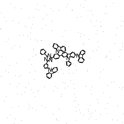 c1ccc(-c2nc(-c3cccc(-n4c5ccccc5c5ccccc54)c3)nc(-c3ccc(-c4ccc5c6ccc(-n7c8ccccc8c8ccccc87)cc6n(-c6ccccc6)c5c4)c(-n4c5ccccc5c5ccccc54)c3)n2)cc1